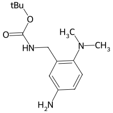 CN(C)c1ccc(N)cc1CNC(=O)OC(C)(C)C